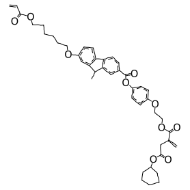 C=CC(=O)OCCCCCCOc1ccc2c(c1)C(C)c1cc(C(=O)Oc3ccc(OCCOC(=O)C(=C)CC(=O)OC4CCCCC4)cc3)ccc1-2